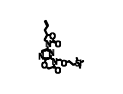 C=CCC1CN(c2cnc3c(n2)N(COCC[Si](C)(C)C)C(=O)CO3)C(=O)O1